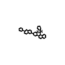 c1ccc(-c2ccc3cc(-c4ccc5c6ccc7ccccc7c6c6nc7ccccc7n6c5c4)ccc3c2)cc1